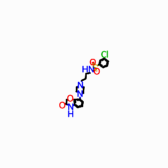 O=C1COc2c(cccc2N2CCN(CCCCNS(=O)(=O)c3cccc(Cl)c3)CC2)N1